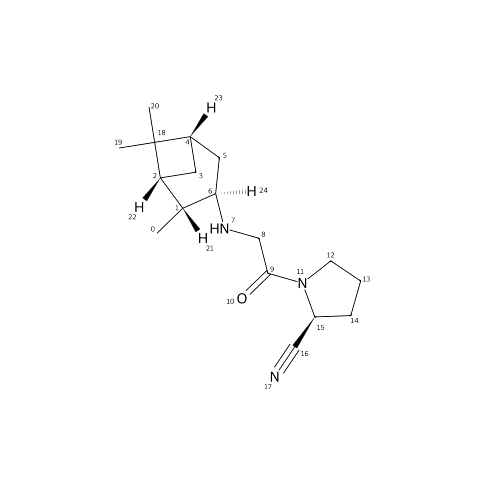 C[C@@H]1[C@H]2C[C@@H](C[C@H]1NCC(=O)N1CCC[C@H]1C#N)C2(C)C